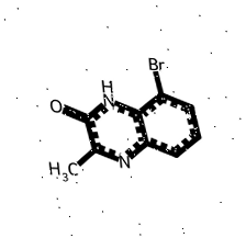 Cc1nc2cccc(Br)c2[nH]c1=O